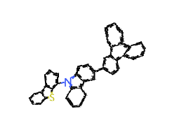 C1=Cc2c(c3cc(-c4ccc5c6ccccc6c6ccccc6c5c4)ccc3n2-c2cccc3c2sc2ccccc23)CC1